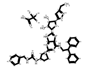 CCc1cc([C@H]2O[C@H](c3nc4c(NCC(c5ccccc5)c5ccccc5)nc(N5CC[C@@H](NC(=O)NCc6ccncc6)C5)nc4[nH]3)[C@H](O)[C@@H]2O)on1.O=C(O)C(F)(F)F